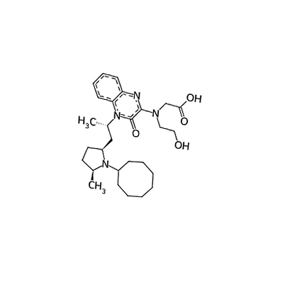 C[C@H]1CC[C@@H](C[C@H](C)n2c(=O)c(N(CCO)CC(=O)O)nc3ccccc32)N1C1CCCCCCC1